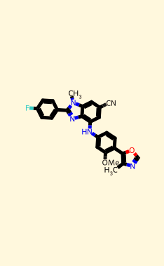 COc1cc(Nc2cc(C#N)cc3c2nc(-c2ccc(F)cc2)n3C)ccc1-c1ocnc1C